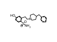 NS(=O)(=O)c1ccc(O)cc1CCN1CCC(Cc2ccccc2)CC1